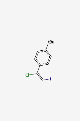 CC(C)(C)c1ccc(/C(Cl)=C\I)cc1